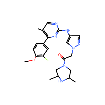 COc1ccc(-c2nc(Nc3cnn(CC(=O)N4CC(C)NC(C)C4)c3)ncc2C)cc1F